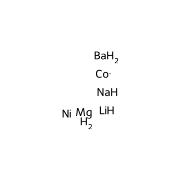 [BaH2].[Co].[LiH].[MgH2].[NaH].[Ni]